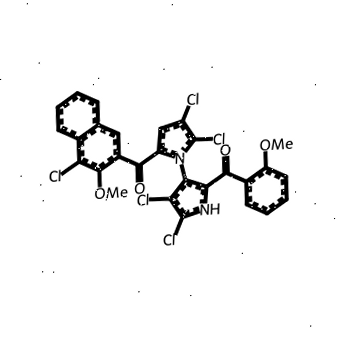 COc1ccccc1C(=O)c1[nH]c(Cl)c(Cl)c1-n1c(C(=O)c2cc3ccccc3c(Cl)c2OC)cc(Cl)c1Cl